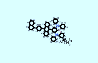 CC(C)(C)c1ccc2c(c1)N(c1ccccc1)c1cc(-c3c4ccccc4c(-c4ccc(-c5cccc6ccccc56)cc4)c4ccccc34)cc3c1B2c1ccccc1N3c1ccccc1